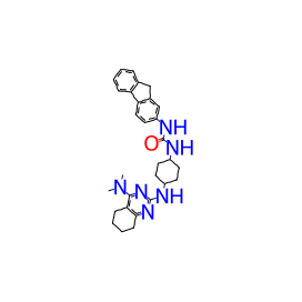 CN(C)c1nc(NC2CCC(NC(=O)Nc3ccc4c(c3)Cc3ccccc3-4)CC2)nc2c1CCCC2